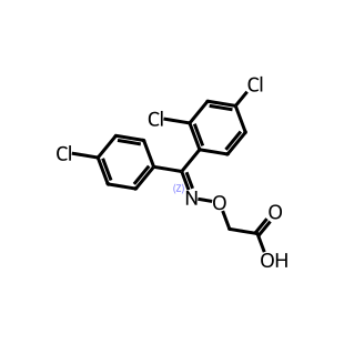 O=C(O)CO/N=C(/c1ccc(Cl)cc1)c1ccc(Cl)cc1Cl